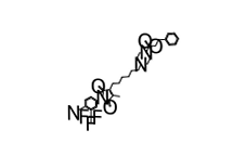 CC1=C(CCCCCCN2CCN(C(=O)OCc3ccccc3)CC2)C(=O)N(c2ccc(C#N)c(C(F)(F)F)c2)C1=O